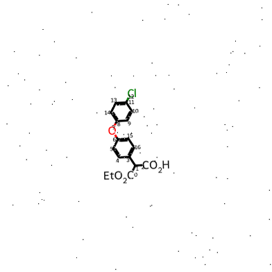 CCOC(=O)C(C(=O)O)c1ccc(Oc2ccc(Cl)cc2)cc1